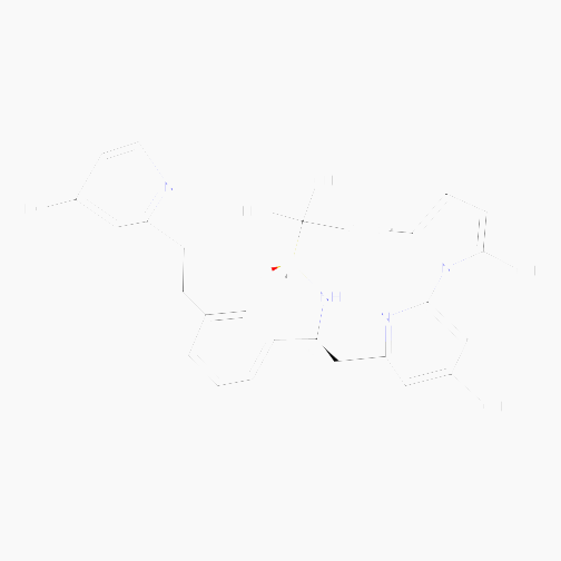 Cc1ccnc(CCc2cccc([C@H](Cc3cc(C)cc(-n4c(C)ccc4C)n3)N[S@@+]([O-])C(C)(C)C)c2)c1